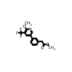 COC(=O)Cc1cccc(-c2cnc(OC)c(C(F)(F)F)c2)c1